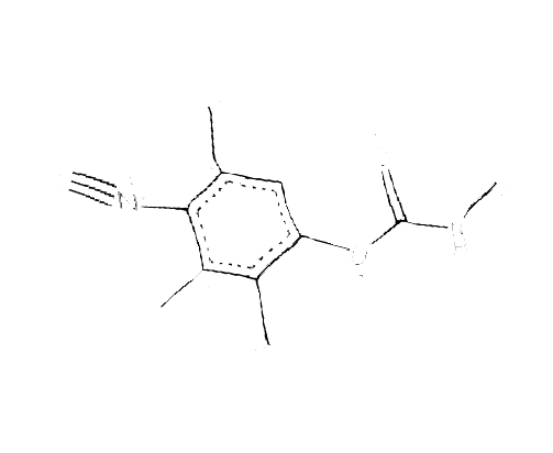 [C-]#[N+]c1c(C)cc(OC(=O)NC)c(C)c1C